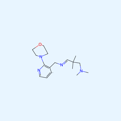 CN(C)CC(C)(C)C=NCc1[c]ccnc1N1CCOCC1